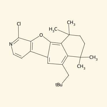 CC(C)(C)Cc1cc2c(oc3c(Cl)nccc32)c2c1C(C)(C)CCC2(C)C